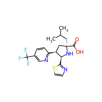 CC(C)C[C@@]1(C(=O)O)C[C@H](c2ccc(C(F)(F)F)cn2)[C@H](c2nccs2)N1